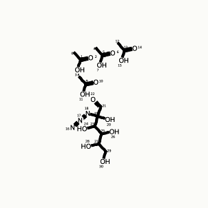 CC(=O)O.CC(=O)O.CC(=O)O.CC(=O)O.[N-]=[N+]=NC(O)(C=O)C(O)C(O)C(O)CO